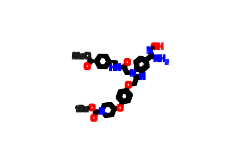 COC(=O)[C@H]1CC[C@H](CNC(=O)Cn2c(COc3ccc(OC4CCN(C(=O)OC(C)(C)C)CC4)cc3)nc3cc(C(N)=NO)ccc32)CC1